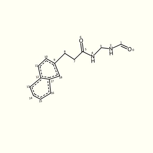 O=CNCNC(=O)CCc1ccc2ccccc2c1